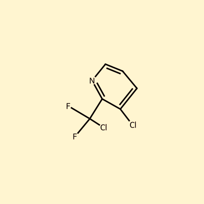 FC(F)(Cl)c1ncccc1Cl